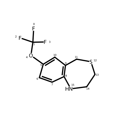 FC(F)(F)Oc1ccc2c(c1)CSCCN2